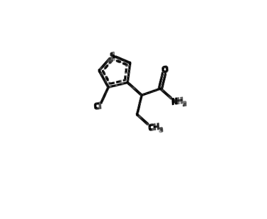 CCC(C(N)=O)c1cscc1Cl